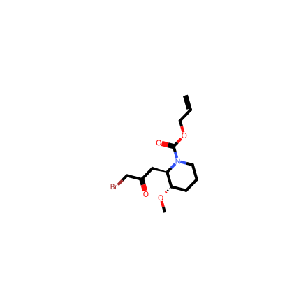 C=CCOC(=O)N1CCC[C@H](OC)[C@H]1CC(=O)CBr